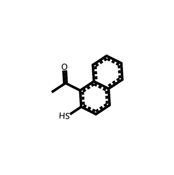 CC(=O)c1c(S)ccc2ccccc12